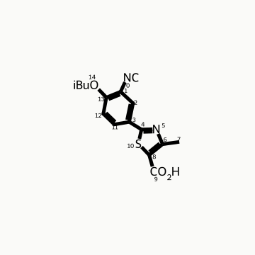 [C-]#[N+]c1cc(-c2nc(C)c(C(=O)O)s2)ccc1OCC(C)C